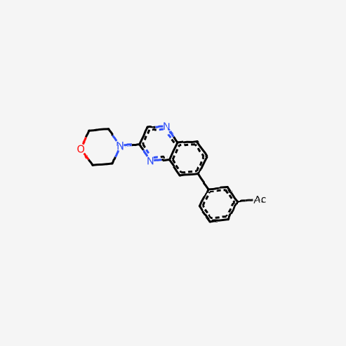 CC(=O)c1cccc(-c2ccc3ncc(N4CCOCC4)nc3c2)c1